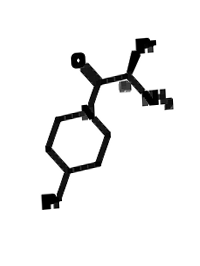 CC(C)C1CCN(C(=O)[C@H](N)C(C)C)CC1